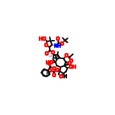 COC(=O)O[C@@]12CO[C@@H]1CC(O)[C@@]1(C)C(=O)[C@H](OC(C)=O)C3=C(C)[C@](C)(OC(=O)C4OC(O)C(C)(C)[C@@H]4NC(=O)OC(C)(C)C)C[C@@](O)([C@@H](OC(=O)c4ccccc4)C12)C3(C)C